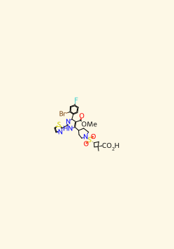 COC(=O)C1=C(C2CCN(S(=O)(=O)[C@H]3C[C@](C)(C(=O)O)C3)CC2)NC(c2nccs2)=NC1c1ccc(F)cc1Br